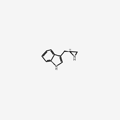 c1ccc2c(C[C@H]3CN3)c[nH]c2c1